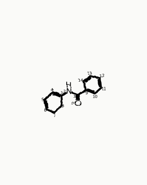 O=C(NC1=CC=CCC1)c1ccccc1